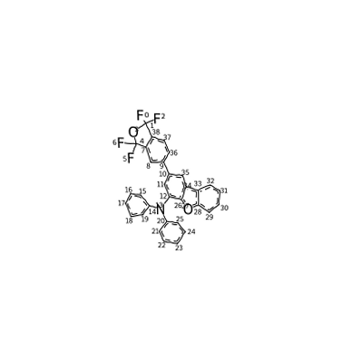 FC1(F)OC(F)(F)c2cc(-c3cc(N(c4ccccc4)c4ccccc4)c4oc5ccccc5c4c3)ccc21